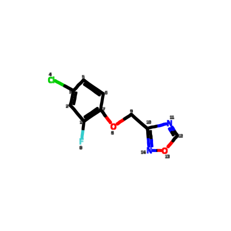 Fc1cc(Cl)ccc1OCc1ncon1